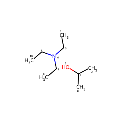 CC(C)O.CCN(CC)CC